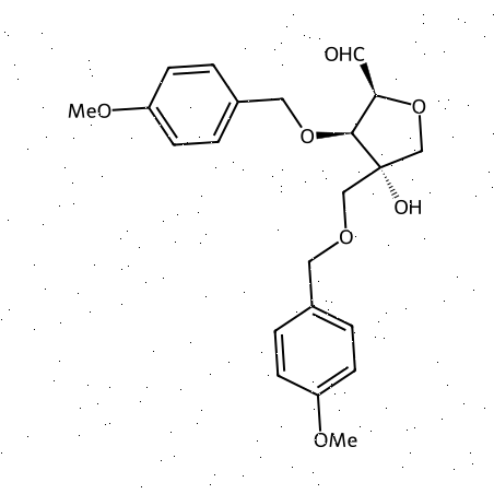 COc1ccc(COC[C@]2(O)CO[C@H](C=O)[C@@H]2OCc2ccc(OC)cc2)cc1